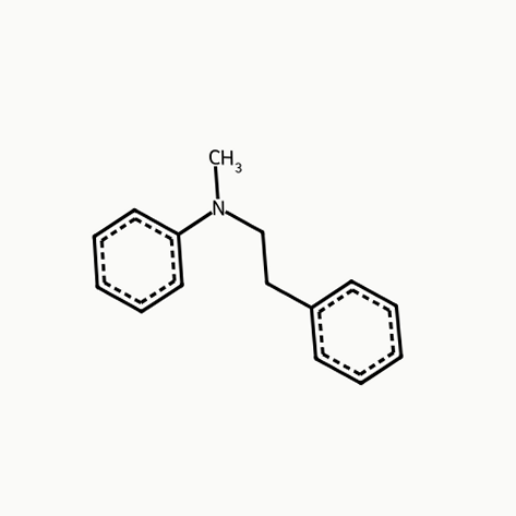 CN(CCc1ccccc1)c1ccccc1